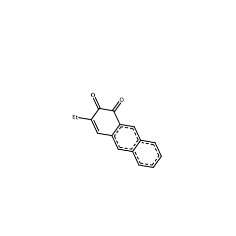 CCC1=Cc2cc3ccccc3cc2C(=O)C1=O